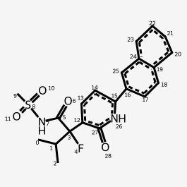 CC(C)C(F)(C(=O)NS(C)(=O)=O)c1ccc(-c2ccc3ccccc3c2)[nH]c1=O